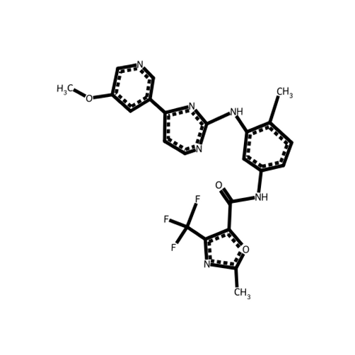 COc1cncc(-c2ccnc(Nc3cc(NC(=O)c4oc(C)nc4C(F)(F)F)ccc3C)n2)c1